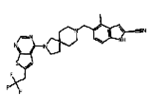 Cc1c(CN2CCC3(CC2)CCN(c2ncnc4sc(CC(F)(F)F)cc24)C3)ccc2[nH]c(C#N)cc12